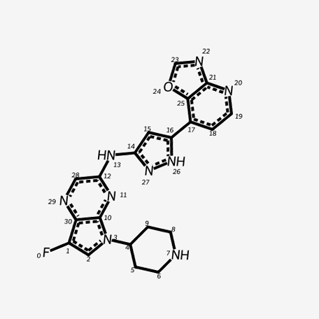 Fc1cn(C2CCNCC2)c2nc(Nc3cc(-c4ccnc5ncoc45)[nH]n3)cnc12